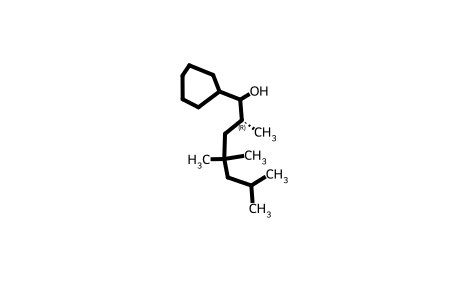 CC(C)CC(C)(C)C[C@@H](C)C(O)C1CCCCC1